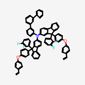 C=Cc1ccc(Oc2ccc(C3(c4cccc(F)c4F)c4ccccc4-c4ccc(N(c5cccc(-c6cccc(-c7ccccc7)c6)c5)c5ccc6c(c5)C(c5ccc(Oc7ccc(C=C)cc7)cc5)(c5cccc(F)c5F)c5ccccc5-6)cc43)cc2)cc1